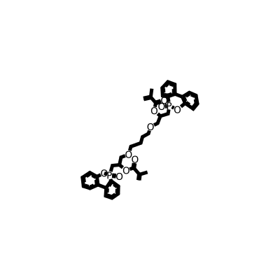 C=C(C)C(=O)OC(COCCCCOCC(CP1(=O)Oc2ccccc2-c2ccccc21)OC(=O)C(=C)C)CP1(=O)Oc2ccccc2-c2ccccc21